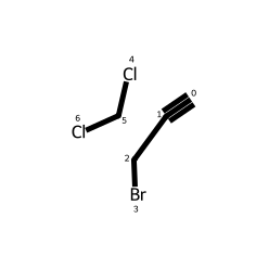 C#CCBr.ClCCl